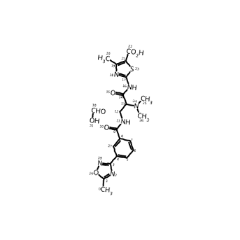 Cc1nc(-c2cccc(C(=O)NCC(C(=O)Nc3nc(C)c(C(=O)O)s3)N(C)C)c2)no1.O=CO